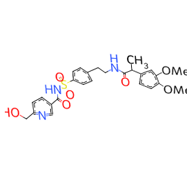 COc1ccc(C(C)C(=O)NCCc2ccc(S(=O)(=O)NC(=O)c3ccc(CO)nc3)cc2)cc1OC